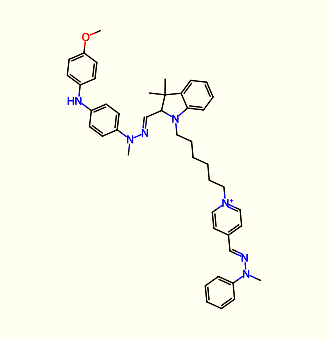 COc1ccc(Nc2ccc(N(C)/N=C/C3N(CCCCCC[n+]4ccc(/C=N/N(C)c5ccccc5)cc4)c4ccccc4C3(C)C)cc2)cc1